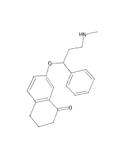 CNCCC(Oc1ccc2c(c1)C(=O)CCC2)c1ccccc1